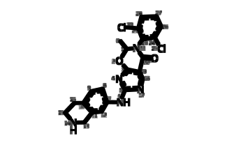 CC1Oc2nc(Nc3ccc4c(c3)CNCC4)ncc2C(=O)N1c1c(Cl)cccc1Cl